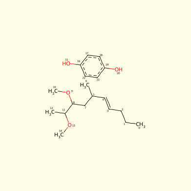 CCCC=CC(C)CC(OC)C(C)OC.Oc1ccc(O)cc1